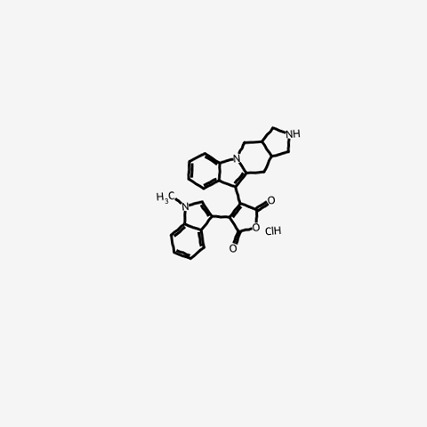 Cl.Cn1cc(C2=C(c3c4n(c5ccccc35)CC3CNCC3C4)C(=O)OC2=O)c2ccccc21